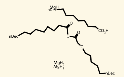 CCCCCCCCCCCCCCCCCC(=O)O.CCCCCCCCCCCCCCCCCC(=O)OC(=O)CCCCCCCCCCCCCCCCC.[MgH2].[MgH2].[MgH2]